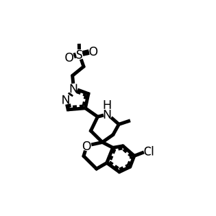 CC1CC2(CC(c3cnn(CCS(C)(=O)=O)c3)N1)OCCc1ccc(Cl)cc12